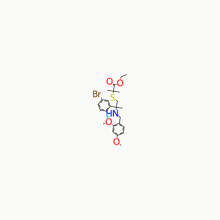 CCOC(=O)C(C)(C)SCC(C)(NCc1ccc(OC)cc1OC)c1cc(Br)ccc1F